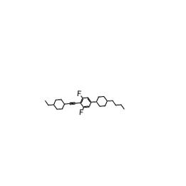 CCCCC1CCC(c2cc(F)c(C#CC3CCC(CC)CC3)c(F)c2)CC1